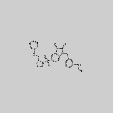 O=CNc1cccc(CN2C(=O)C(=O)c3cc(S(=O)(=O)N4CCCC4COc4ccccc4)ccc32)c1